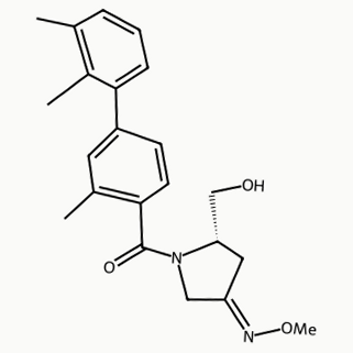 CO/N=C1\C[C@@H](CO)N(C(=O)c2ccc(-c3cccc(C)c3C)cc2C)C1